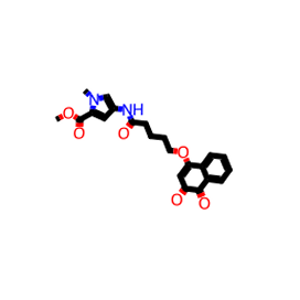 COC(=O)c1cc(NC(=O)CCCCOC2=CC(=O)C(=O)c3ccccc32)cn1C